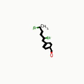 CC(Br)CCC(Br)Cc1ccc([C]=O)cc1